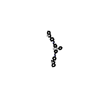 C1=CC2=CC3(c4ccc(/C=C/c5ccc6c(c5)Oc5cc(/C=C/c7ccc(-c8cnc9ccccc9c8)cc7)ccc5N6c5ccccc5)cc4)CN3C2CC1